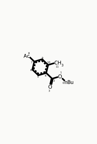 CCCCOC(=O)c1ccc(C(C)=O)cc1C